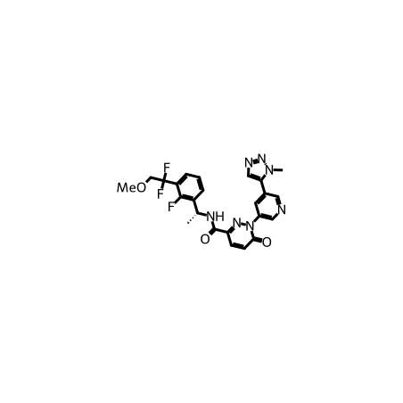 COCC(F)(F)c1cccc([C@@H](C)NC(=O)c2ccc(=O)n(-c3cncc(-c4cnnn4C)c3)n2)c1F